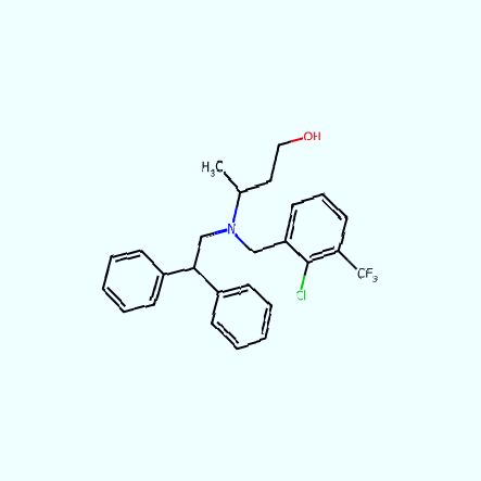 CC(CCO)N(Cc1cccc(C(F)(F)F)c1Cl)CC(c1ccccc1)c1ccccc1